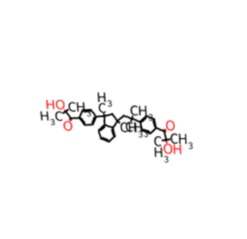 CC(C)(O)C(=O)c1ccc(C(C)(C)CC2(C)CC(C)(c3ccc(C(=O)C(C)(C)O)cc3)c3ccccc32)cc1